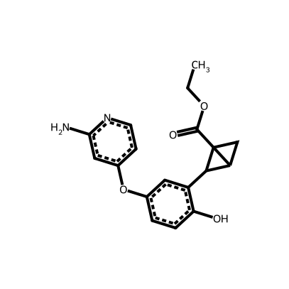 CCOC(=O)C12CC1C2c1cc(Oc2ccnc(N)c2)ccc1O